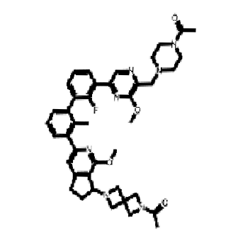 COc1nc(-c2cccc(-c3cccc(-c4cc5c(c(OC)n4)C(N4CC6(CN(C(C)=O)C6)C4)CC5)c3C)c2F)cnc1CN1CCN(C(C)=O)CC1